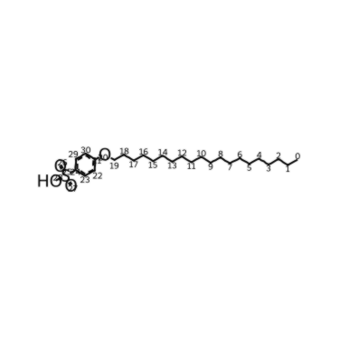 CCCCCCCCCCCCCCCCCCCCOc1ccc(S(=O)(=O)O)cc1